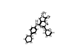 CC(C)N1Cc2c(Nc3ccc(C4CCCCC4)cc3)nc(C3CCC=CO3)nc2C1=O